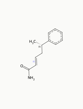 C[C@@H](C/C=C/C(N)=O)c1ccccc1